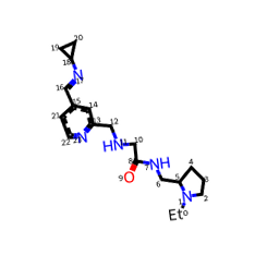 CCN1CCCC1CNC(=O)CNCc1cc(C=NC2CC2)ccn1